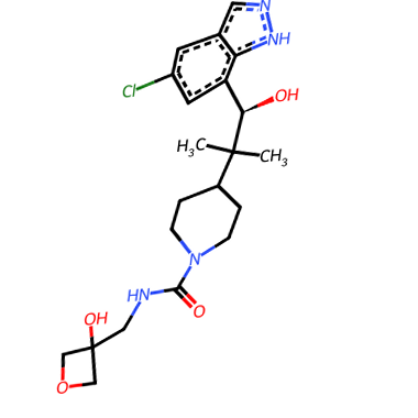 CC(C)(C1CCN(C(=O)NCC2(O)COC2)CC1)[C@H](O)c1cc(Cl)cc2cn[nH]c12